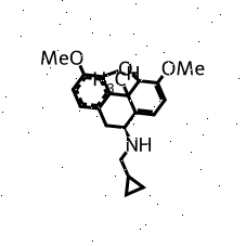 COC1=CC=C2[C@@H](NCC3CC3)Cc3ccc(OC)c4c3C2(C)[C@@H]1O4